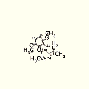 C=C(C)C1CC=C(C)C(=O)C1Cc1cc(OC)ccc1OC